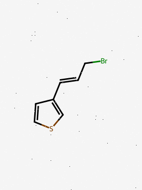 BrCC=Cc1ccsc1